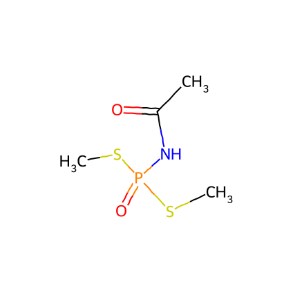 CSP(=O)(NC(C)=O)SC